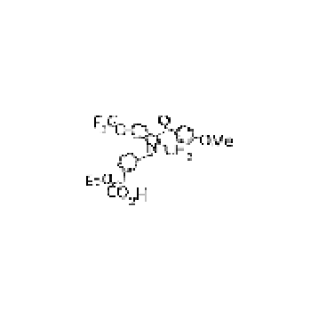 CCOC(Cc1cccc(Cn2c(C)c(C(=O)c3ccc(OC)cc3)c3ccc(OC(F)(F)F)cc32)c1)C(=O)O